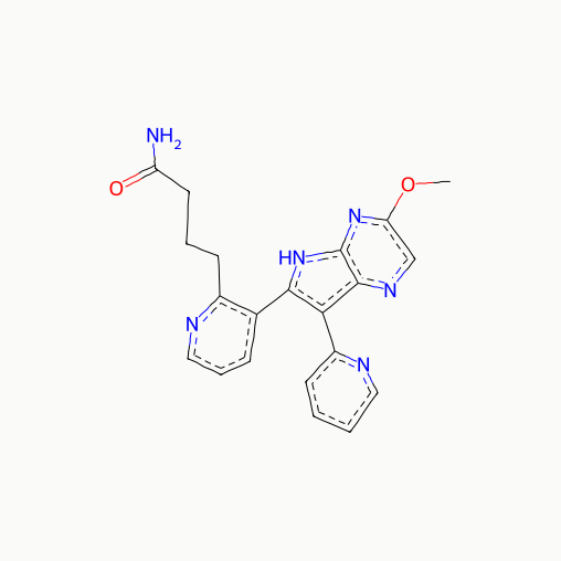 COc1cnc2c(-c3ccccn3)c(-c3cccnc3CCCC(N)=O)[nH]c2n1